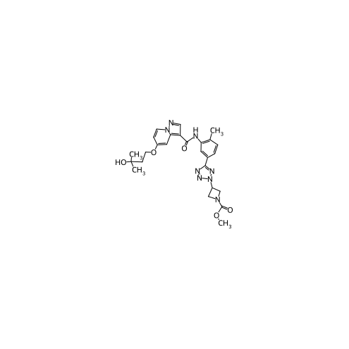 COC(=O)N1CC(n2nnc(-c3ccc(C)c(NC(=O)c4cnn5ccc(OCCC(C)(C)O)cc45)c3)n2)C1